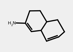 NC1=CC2C=CCCC2CC1